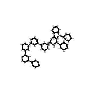 c1ccc(-c2cccc(-c3cccc(-c4cccc(-c5cccc(-c6nc(-c7ccccc7)c7c(n6)c6ccccc6n7-c6ccccc6)c5)c4)c3)c2)cc1